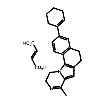 CC1=NCCn2c1cc1c2-c2ccc(C3=CCCCC3)cc2CC1.O=C(O)C=CC(=O)O